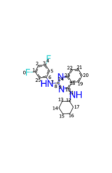 Fc1cc(F)cc(Nc2nc(NC3CCCCC3)c3ccccc3n2)c1